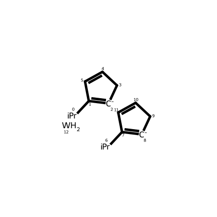 CC(C)C1=[C-]CC=C1.CC(C)C1=[C-]CC=C1.[WH2]